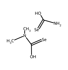 CN(C)C(O)=[Se].NC(O)=[Se]